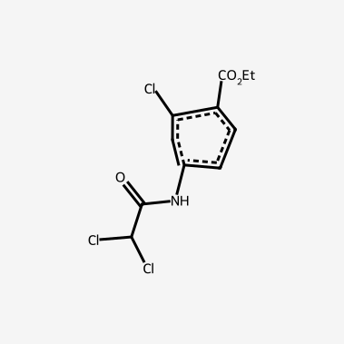 CCOC(=O)c1ccc(NC(=O)C(Cl)Cl)cc1Cl